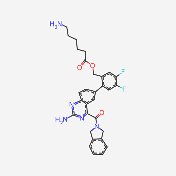 NCCCCCC(=O)OCc1cc(F)c(F)cc1-c1ccc2nc(N)nc(C(=O)N3Cc4ccccc4C3)c2c1